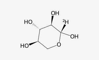 [2H][C@@]1(O)OC[C@@H](O)[C@H](O)[C@H]1O